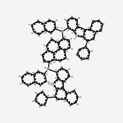 c1ccc(-c2cc3ccccc3c3c2oc2c(N(c4ccc5ccccc5c4)c4ccc5ccc6c(N(c7ccc8ccccc8c7)c7cccc8c7oc7c(-c9ccccc9)cc9ccccc9c78)ccc7ccc4c5c76)cccc23)cc1